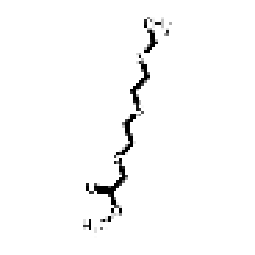 [CH2]CSCCSCCSCC(=O)OC